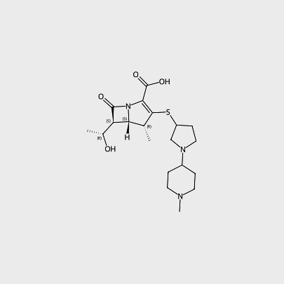 C[C@@H](O)[C@H]1C(=O)N2C(C(=O)O)=C(SC3CCN(C4CCN(C)CC4)C3)[C@H](C)[C@H]12